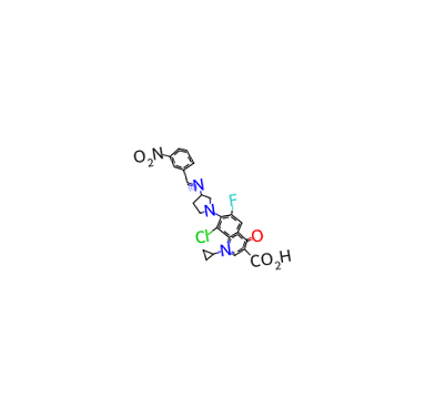 O=C(O)c1cn(C2CC2)c2c(Cl)c(N3CCC(/N=C/c4cccc([N+](=O)[O-])c4)C3)c(F)cc2c1=O